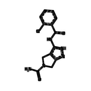 NC(=O)N1Cc2n[nH]c(NC(=O)c3ccccc3Cl)c2C1